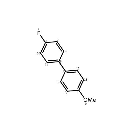 COc1[c]cc(-c2ccc(F)cc2)cc1